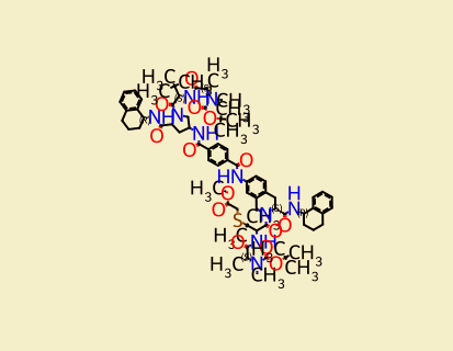 COC(=O)CSC(C)(C)C(NC(=O)[C@H](C)N(C)C(=O)OC(C)(C)C)C(=O)N1Cc2cc(NC(=O)c3ccc(C(=O)NC4CC(C(=O)N[C@@H]5CCCc6ccccc65)N(C(=O)[C@@H](NC(=O)[C@H](C)N(C)C(=O)OC(C)(C)C)C(C)(C)C)C4)cc3)ccc2C[C@H]1C(=O)N[C@@H]1CCCc2ccccc21